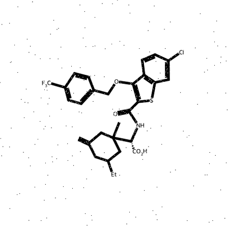 C=C1CC(CC)CC(C)([C@H](NC(=O)c2sc3cc(Cl)ccc3c2OCc2ccc(C(F)(F)F)cc2)C(=O)O)C1